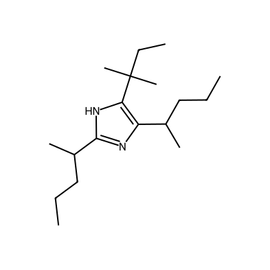 CCCC(C)c1nc(C(C)CCC)c(C(C)(C)CC)[nH]1